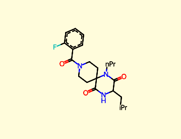 CCCN1C(=O)C(CC(C)C)NC(=O)C12CCN(C(=O)c1ccccc1F)CC2